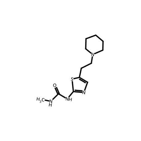 CNC(=O)Nc1ncc(CCN2CCCCC2)s1